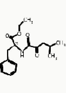 CCOC(=O)[C@H](Cc1ccccc1)NC(=O)C(=O)CC(C)C